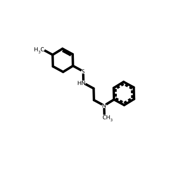 CC1C=CC(SNCCN(C)c2ccccc2)CC1